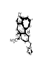 CN1C[C@H](Cn2cnnn2)C[C@@H]2c3cccc4[nH]cc(c34)C[C@H]21